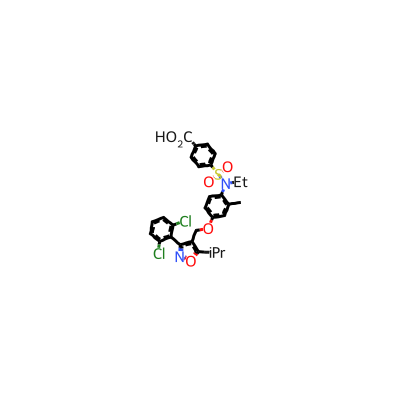 CCN(c1ccc(OCc2c(-c3c(Cl)cccc3Cl)noc2C(C)C)cc1C)S(=O)(=O)c1ccc(C(=O)O)cc1